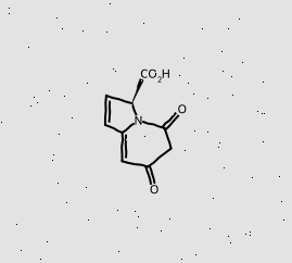 O=C1C=C2C=C[C@@H](C(=O)O)N2C(=O)C1